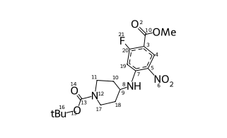 COC(=O)c1cc([N+](=O)[O-])c(NC2CCN(C(=O)OC(C)(C)C)CC2)cc1F